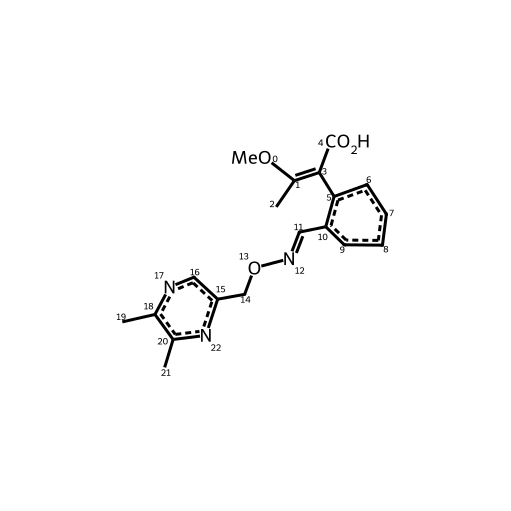 COC(C)=C(C(=O)O)c1ccccc1C=NOCc1cnc(C)c(C)n1